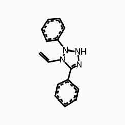 C=CN1C(c2ccccc2)=NNN1c1ccccc1